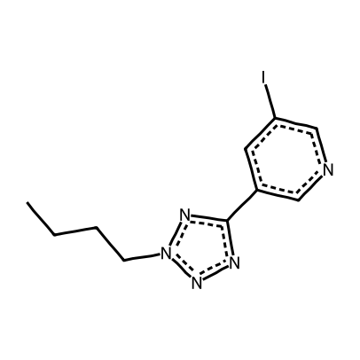 CCCCn1nnc(-c2cncc(I)c2)n1